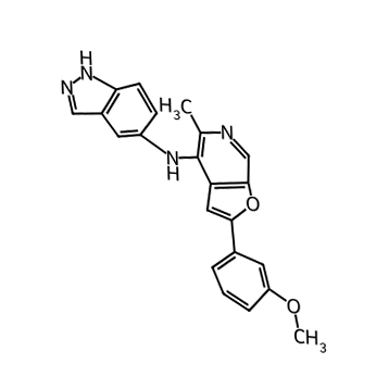 COc1cccc(-c2cc3c(Nc4ccc5[nH]ncc5c4)c(C)ncc3o2)c1